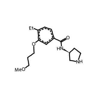 CCc1ccc(C(=O)N[C@H]2CCNC2)cc1OCCCOC